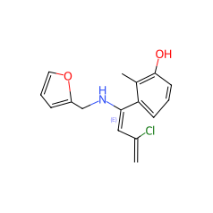 C=C(Cl)/C=C(/NCc1ccco1)c1cccc(O)c1C